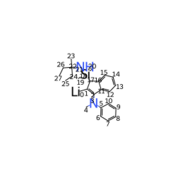 [Li][C]1=C(N(C)c2ccccc2)c2ccccc2C1[Si](C)(C)NC(C)(CC)CC